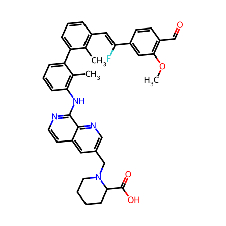 COc1cc(C(F)=Cc2cccc(-c3cccc(Nc4nccc5cc(CN6CCCCC6C(=O)O)cnc45)c3C)c2C)ccc1C=O